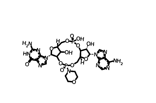 Nc1nc2c(ncn2[C@@H]2O[C@@H]3COP(=O)(O)OC4[C@@H](COP(=O)(N5CCOCC5)OC2C3O)O[C@@H](n2cnc3c(N)ncnc32)[C@H]4O)c(=O)[nH]1